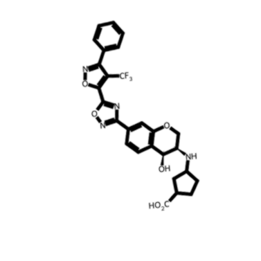 O=C(O)C1CCC(N[C@@H]2COc3cc(-c4noc(-c5onc(-c6ccccc6)c5C(F)(F)F)n4)ccc3[C@@H]2O)C1